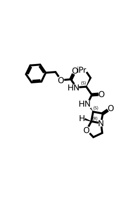 CC(C)C[C@H](NC(=O)OCc1ccccc1)C(=O)N[C@@H]1C(=O)N2CCO[C@H]12